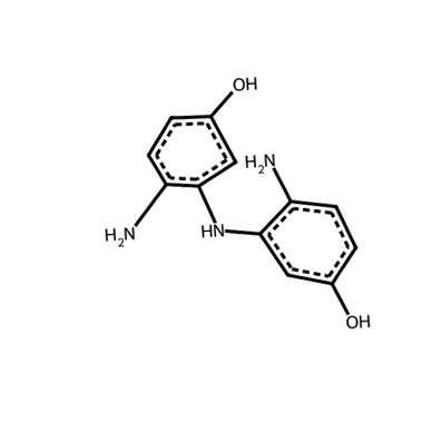 Nc1ccc(O)cc1Nc1cc(O)ccc1N